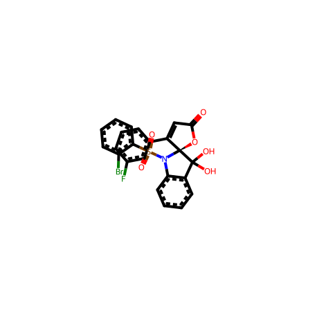 O=C1C=C(c2cccc(F)c2)[C@@]2(O1)N(S(=O)(=O)c1ccccc1Br)c1ccccc1C2(O)O